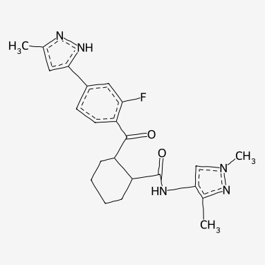 Cc1cc(-c2ccc(C(=O)C3CCCCC3C(=O)Nc3cn(C)nc3C)c(F)c2)[nH]n1